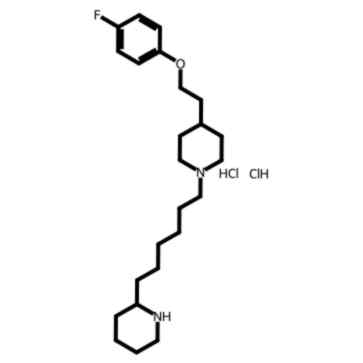 Cl.Cl.Fc1ccc(OCCC2CCN(CCCCCCC3CCCCN3)CC2)cc1